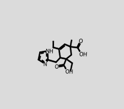 CCC1=CC(C)(C(=O)O)CC(CC)(C(=O)O)C1Cc1ncc[nH]1